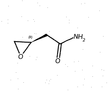 NC(=O)C[C@@H]1CO1